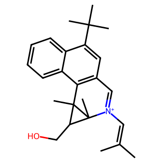 CC(C)=C[N+]1=Cc2cc(C(C)(C)C)c3ccccc3c2C2(C)C(CO)C12C